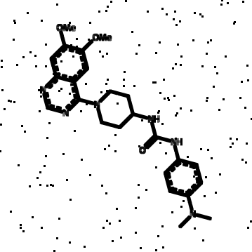 COc1cc2ncnc(N3CCC(NC(=O)Nc4ccc(N(C)C)cc4)CC3)c2cc1OC